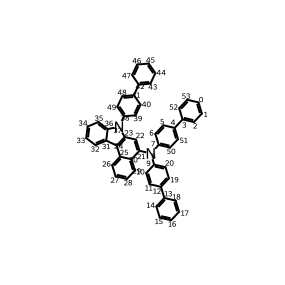 c1ccc(-c2ccc(N(c3ccc(-c4ccccc4)cc3)c3cc4c(c5ccccc35)c3ccccc3n4-c3ccc(-c4ccccc4)cc3)cc2)cc1